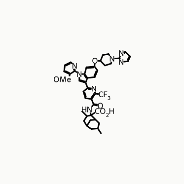 COc1cccnc1-n1cc(-c2ccc(C(=O)NC3(C(=O)O)C(C)CC4CC(C)CC3C4)c(C(F)(F)F)n2)c2ccc(OC3CCN(c4ncccn4)CC3)cc21